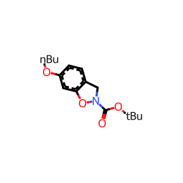 CCCCOc1ccc2c(c1)ON(C(=O)OC(C)(C)C)C2